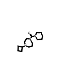 O=C(N1CCCCC1)N1CCCN(C2CCC2)CC1